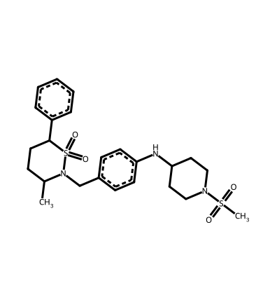 CC1CCC(c2ccccc2)S(=O)(=O)N1Cc1ccc(NC2CCN(S(C)(=O)=O)CC2)cc1